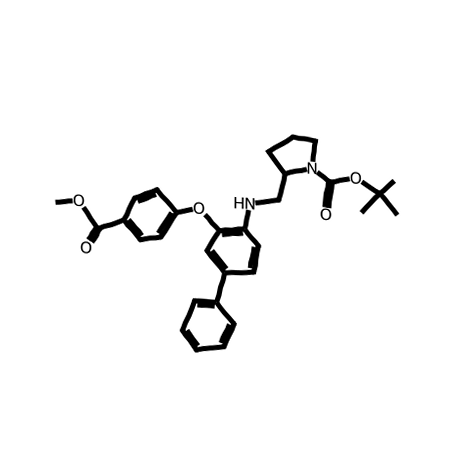 COC(=O)c1ccc(Oc2cc(-c3ccccc3)ccc2NCC2CCCN2C(=O)OC(C)(C)C)cc1